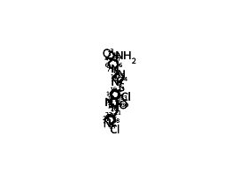 N[C@@H]1COCC12CCN(c1cnc(Sc3ccc4ncn(Cc5ccnc(Cl)c5)c(=O)c4c3Cl)cn1)CC2